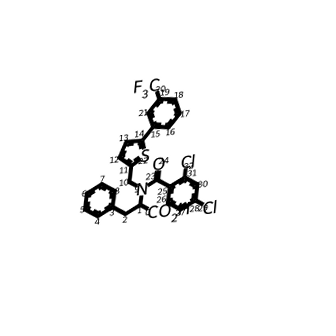 O=C(O)C(Cc1ccccc1)N(Cc1ccc(-c2cccc(C(F)(F)F)c2)s1)C(=O)c1ccc(Cl)cc1Cl